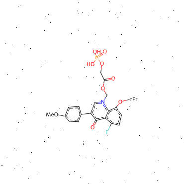 CCCOc1ccc(F)c2c(=O)c(-c3ccc(OC)cc3)cn(COC(=O)COP(=O)(O)O)c12